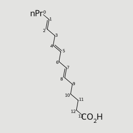 CCCC=CCC=CCC=CCCCCC(=O)O